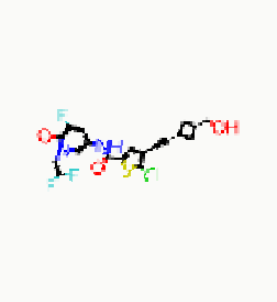 O=C(Nc1cc(F)c(=O)n(CC(F)F)c1)c1cc(C#C[C@H]2C[C@H](CO)C2)c(Cl)s1